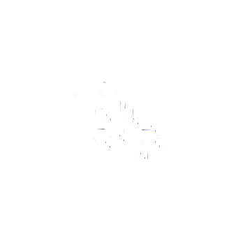 Cc1nc(N)c(C#N)c(N[C@@H](C)c2nc3cccc(C(F)(F)F)c3c(=O)n2-c2cccnc2)n1